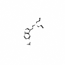 C=CCN(CC=C)CCc1c[nH]c2ccc(OC(=O)CC)cc12